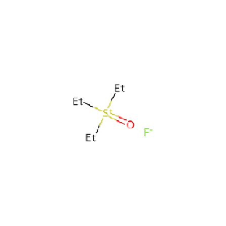 CC[S+](=O)(CC)CC.[F-]